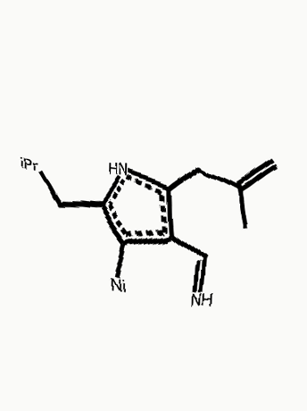 C=C(C)Cc1[nH]c(CC(C)C)[c]([Ni])c1C=N